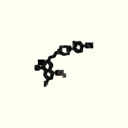 Cc1cc(F)cc2c(=O)[nH]c(CCCN3CCN(c4ccc(C#N)cn4)CC3)cc12